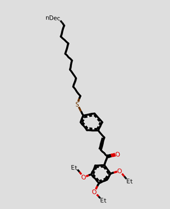 CCCCCCCCCCCCCCCCCCCSc1ccc(C=CC(=O)c2cc(OCC)c(OCC)cc2OCC)cc1